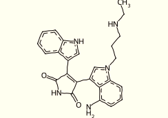 CCNCCCn1cc(C2=C(c3c[nH]c4ccccc34)C(=O)NC2=O)c2c(N)cccc21